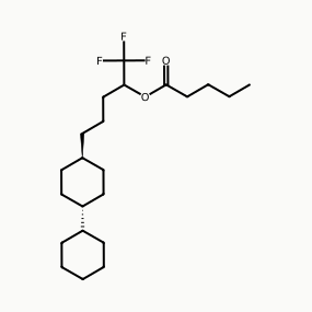 CCCCC(=O)OC(CCC[C@H]1CC[C@H](C2CCCCC2)CC1)C(F)(F)F